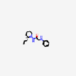 CCC[C@@H]1CCCCN1NC(=O)CNc1ccccc1